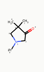 CC(C)N1CC(=O)C(C)(C)C1